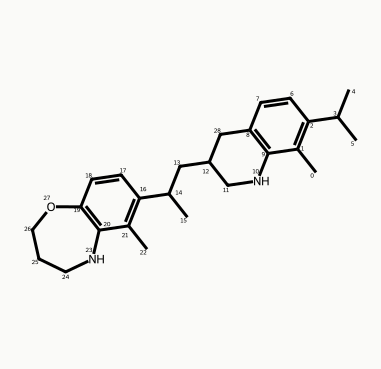 Cc1c(C(C)C)ccc2c1NCC(CC(C)c1ccc3c(c1C)NCCCO3)C2